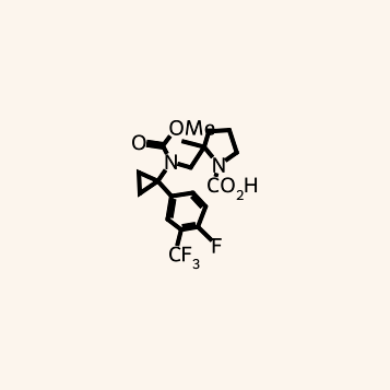 COC(=O)N(CC1(C)CCCN1C(=O)O)C1(c2ccc(F)c(C(F)(F)F)c2)CC1